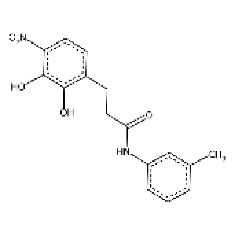 Cc1cccc(NC(=O)CCc2ccc([N+](=O)[O-])c(O)c2O)c1